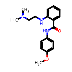 COc1ccc(NC(=O)c2ccccc2NCCN(C)C)cc1